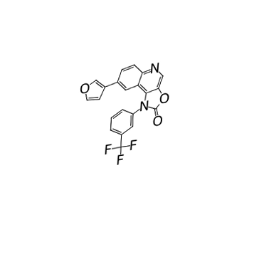 O=c1oc2cnc3ccc(-c4ccoc4)cc3c2n1-c1cccc(C(F)(F)F)c1